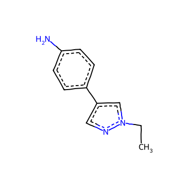 CCn1cc(-c2ccc(N)cc2)cn1